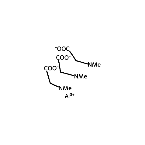 CNCC(=O)[O-].CNCC(=O)[O-].CNCC(=O)[O-].[Al+3]